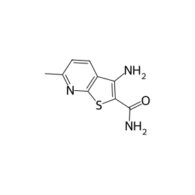 Cc1ccc2c(N)c(C(N)=O)sc2n1